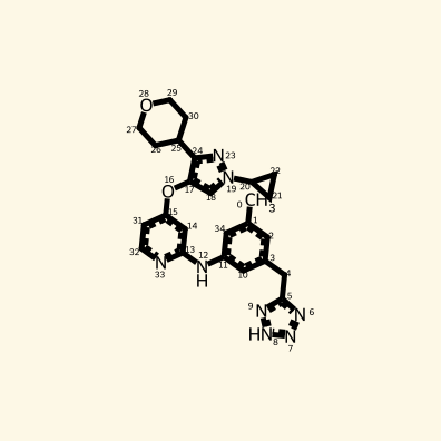 Cc1cc(Cc2nn[nH]n2)cc(Nc2cc(Oc3cn(C4CC4)nc3C3CCOCC3)ccn2)c1